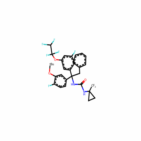 CC(C)(C)Oc1cc(C(Cc2ccccc2)(NC(=O)NC2(C(F)(F)F)CC2)c2cc(F)cc(OC(F)(F)C(F)F)c2)ccc1F